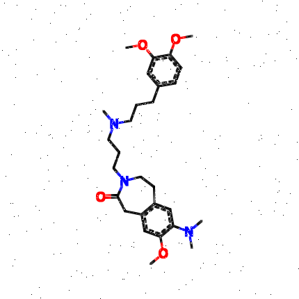 COc1ccc(CCCN(C)CCCN2CCc3cc(N(C)C)c(OC)cc3CC2=O)cc1OC